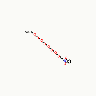 COCCOCCOCCOCCOCCOCCOCCOCCOCCCCN1C(=O)c2ccccc2C1=O